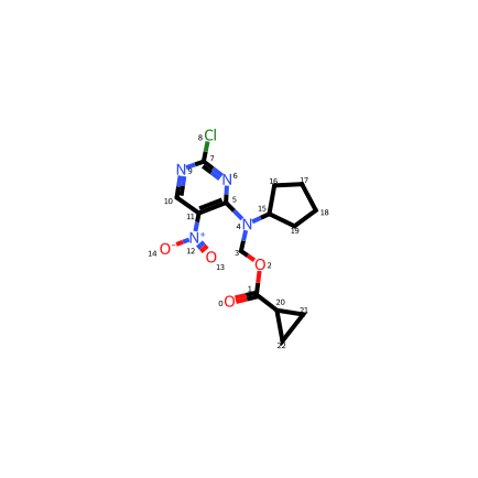 O=C(OCN(c1nc(Cl)ncc1[N+](=O)[O-])C1CCCC1)C1CC1